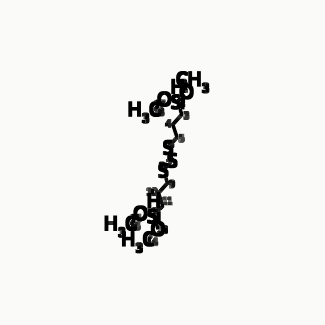 CO[SiH](CCCSSSCCC[SiH](OC)OC)OC